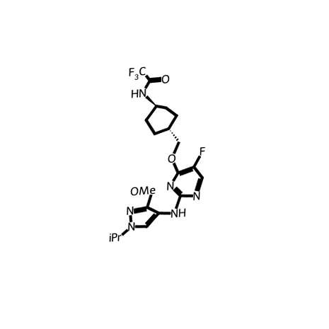 COc1nn(C(C)C)cc1Nc1ncc(F)c(OC[C@H]2CC[C@H](NC(=O)C(F)(F)F)CC2)n1